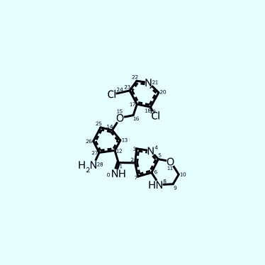 N=C(c1cnc2c(c1)NCCO2)c1cc(OCc2c(Cl)cncc2Cl)ccc1N